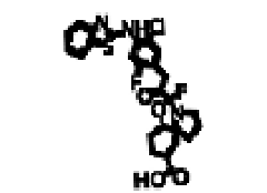 O=C(Cc1cc(Cl)c(Nc2nc3ccccc3s2)cc1F)C(F)(O[C@H]1CC[C@H](C(=O)O)CC1)N1CCCC1